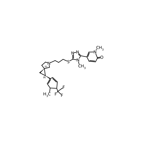 CC1C=C([C@H]2C[C@]23CCN(CCCSc2nnc(-c4ccc(=O)n(C)c4)n2C)C3)C=CC1C(F)(F)F